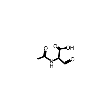 CC(=O)NC(C=O)C(=O)O